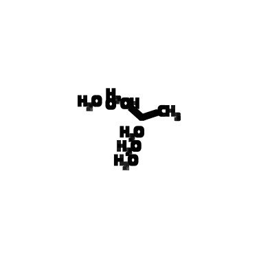 CCO.O.O.O.O.O